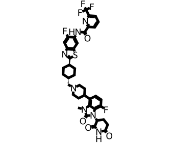 Cn1c(=O)n(C2CCC(=O)NC2=O)c2c(F)ccc(C3CCN(C[C@H]4CC[C@H](c5nc6cc(F)c(NC(=O)c7cccc(C(F)(F)F)n7)cc6s5)CC4)CC3)c21